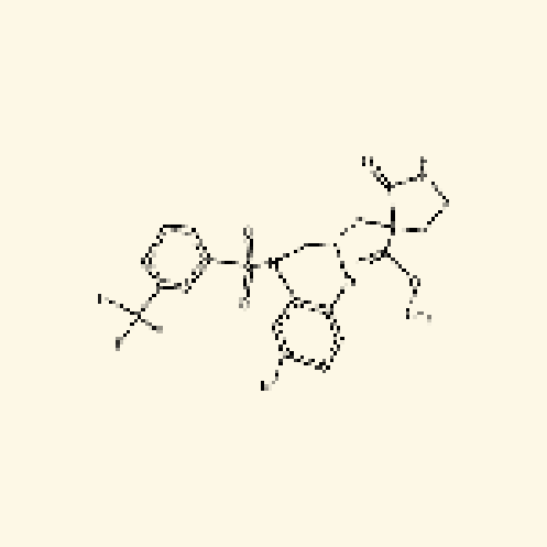 COC(=O)C1(C[C@H]2CN(S(=O)(=O)c3cccc(C(F)(F)F)c3)c3cc(Br)ccc3O2)CCNC1=O